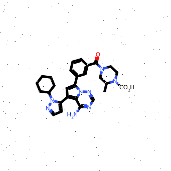 CC1CN(C(=O)c2cccc(-c3cc(-c4ccnn4C4CCCCC4)c4c(N)ncnn34)c2)CCN1C(=O)O